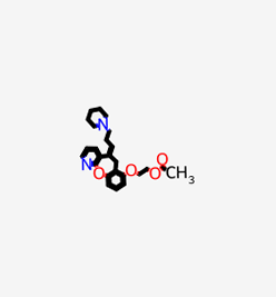 CC(=O)OCCOc1cccc2c1C/C(=C/CCN1CCCCC1)c1cccnc1O2